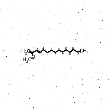 C=C(/C=C/CCCCCCCCCCC)OC